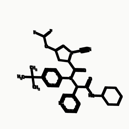 CC(C)(C)c1ccc(N(C(=O)C2CC(OC(F)F)CN2C#N)C(C(=O)NC2CCCCC2)c2cccnc2)cc1